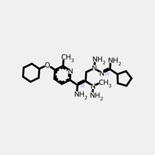 Cc1nc(/C(N)=C(\CN(N)/N=C(\N)C2CCCC2)N(C)N)ccc1OC1CCCCC1